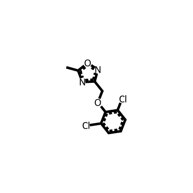 Cc1nc(COc2c(Cl)cccc2Cl)no1